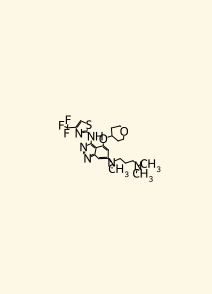 CN(C)CCCN(C)c1cc(OC2CCOCC2)c2c(Nc3nc(C(F)(F)F)cs3)ncnc2c1